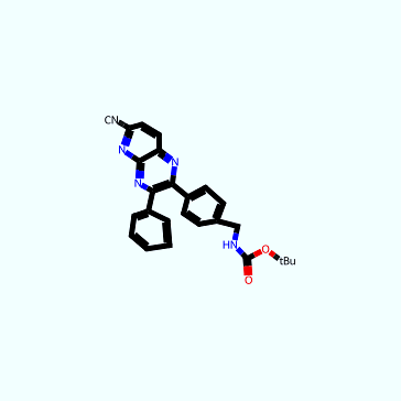 [C-]#[N+]c1ccc2nc(-c3ccc(CNC(=O)OC(C)(C)C)cc3)c(-c3ccccc3)nc2n1